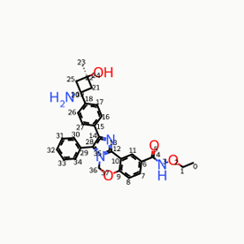 CCONC(=O)c1ccc2c(c1)-c1nc(-c3ccc([C@]4(N)C[C@](C)(O)C4)cc3)c(-c3ccccc3)n1CO2